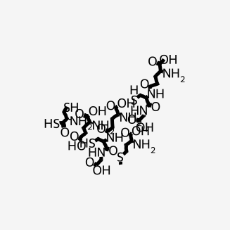 CSCC[C@H](N)C(=O)O.NC(CCC(=O)NC(CS)C(=O)NCC(=O)O)C(=O)O.NC(CCC(=O)NC(CS)C(=O)NCC(=O)O)C(=O)O.N[C@@H](CCC(=O)O)C(=O)O.N[C@@H](CS)C(=O)S